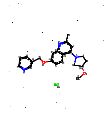 CCO[C@H]1CCN(c2cc(C)nc3cc(OCc4cccnc4)ccc23)C1.Cl